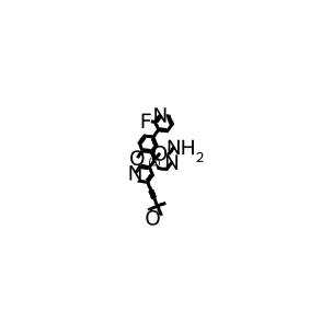 CC1(C#Cc2cnc3c(c2)[C@]2(CCN=C(N)O2)c2cc(-c4cccnc4F)ccc2O3)COC1